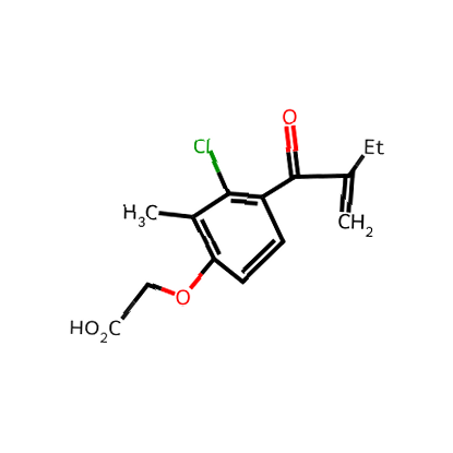 C=C(CC)C(=O)c1ccc(OCC(=O)O)c(C)c1Cl